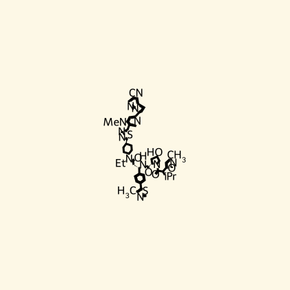 CCN(C(=O)C[C@H](NC(=O)[C@@H]1C[C@@H](O)CN1C(=O)C(c1cc(C)no1)C(C)C)c1ccc(-c2scnc2C)cc1)[C@H]1CC[C@H](c2nnc(-c3cnc(-c4ccc5cc(C#N)cnn45)cc3NC)s2)CC1